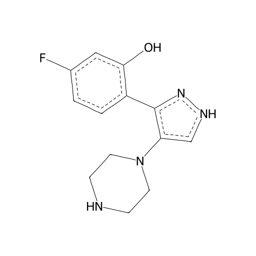 Oc1cc(F)ccc1-c1n[nH]cc1N1CCNCC1